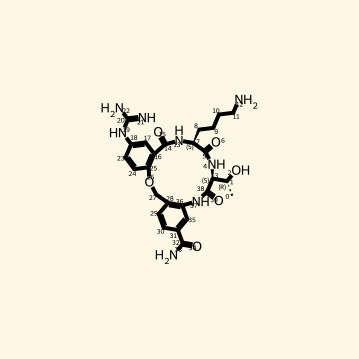 C[C@@H](O)[C@@H]1NC(=O)[C@H](CCCCN)NC(=O)c2cc(NC(=N)N)ccc2OCc2ccc(C(N)=O)cc2NC1=O